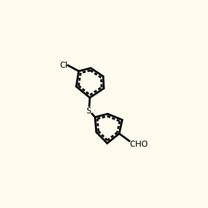 O=Cc1ccc(Sc2cccc(Cl)c2)cc1